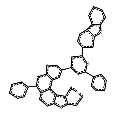 c1ccc(-c2nc(-c3ccc4c(c3)sc3ccccc34)cc(-c3ccc4nc(-c5ccccc5)c5ccc6sc7ccccc7c6c5c4c3)n2)cc1